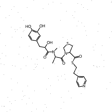 CC(C(=O)N1CSCC1C(=O)SCCc1ccncc1)N(C)C(=O)C(O)Cc1ccc(O)c(O)c1